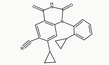 N#Cc1cc2c(=O)[nH]c(=O)n(-c3ccccc3C3CC3)c2cc1C1CC1